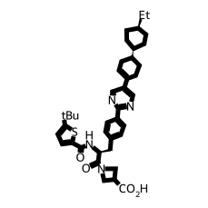 CC[C@H]1CC[C@H](C2CC=C(c3cnc(-c4ccc(C[C@H](NC(=O)c5ccc(C(C)(C)C)s5)C(=O)N5CC(C(=O)O)C5)cc4)nc3)CC2)CC1